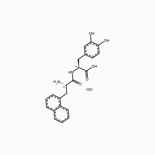 Cl.N[C@@H](Cc1cccc2ccccc12)C(=O)N[C@@H](Cc1ccc(O)c(O)c1)C(=O)O